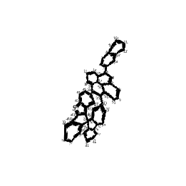 C1=CC2=CC(c3ccc4ccccc4c3)=C3C=CC=C4C=C(c5ccc6c(c5)C5(c7ccccc7-6)c6ccccc6-c6sc7ccccc7c65)C(=C1)C2C43